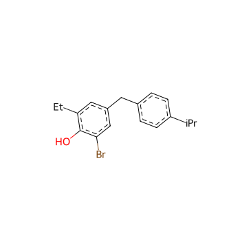 CCc1cc(Cc2ccc(C(C)C)cc2)cc(Br)c1O